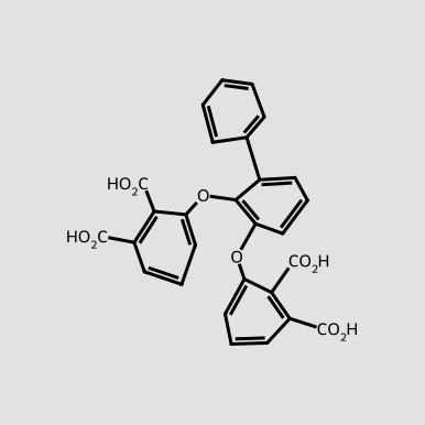 O=C(O)c1cccc(Oc2cccc(-c3ccccc3)c2Oc2cccc(C(=O)O)c2C(=O)O)c1C(=O)O